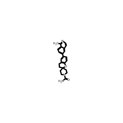 Cc1nccc2cc(-c3ccc4c(c3)CCC3(CCN(C(N)=O)CC3)O4)ccc12